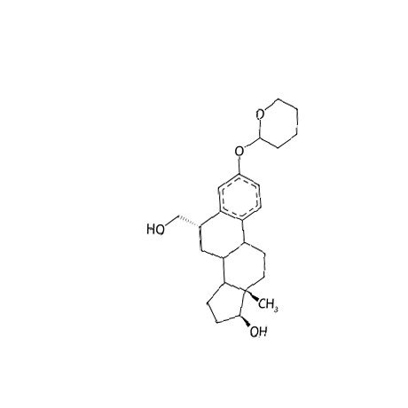 C[C@]12CCC3c4ccc(OC5CCCCO5)cc4[C@@H](CO)CC3C1CC[C@@H]2O